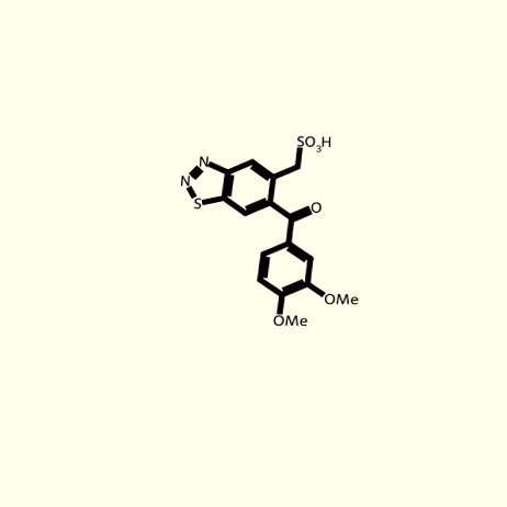 COc1ccc(C(=O)c2cc3snnc3cc2CS(=O)(=O)O)cc1OC